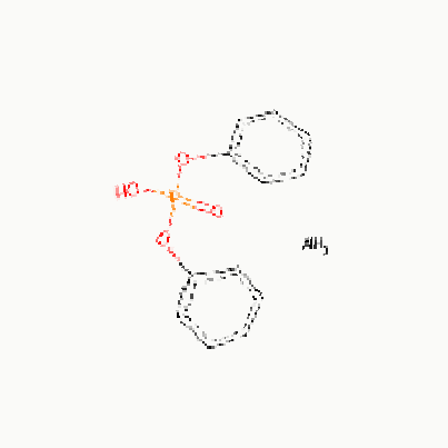 O=P(O)(Oc1ccccc1)Oc1ccccc1.[AlH3]